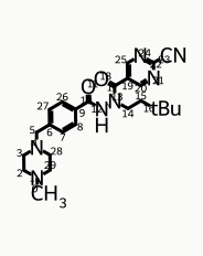 CN1CCN(Cc2ccc(C(=O)NN(CCC(C)(C)C)C(=O)c3cnc(C#N)nc3)cc2)CC1